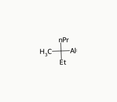 CCC[C](C)([Al])CC